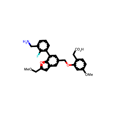 COCc1cc2cc(COc3cc(OC)ccc3CC(=O)O)cc(-c3cccc(CN)c3F)c2o1